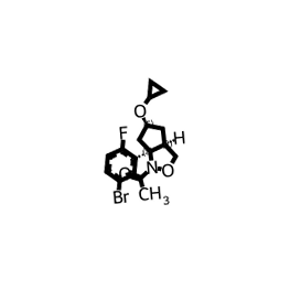 CC(=O)N1OC[C@@H]2C[C@H](OC3CC3)C[C@@]21c1cc(Br)ccc1F